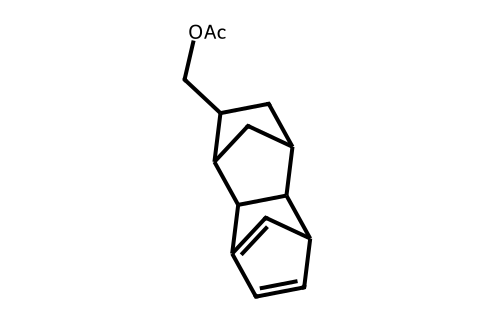 CC(=O)OCC1CC2CC1C1C3=CC(C=C3)C21